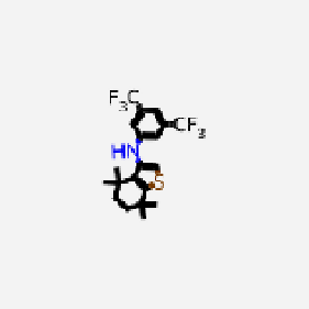 CC1(C)CCC(C)(C)c2c(Nc3cc(C(F)(F)F)cc(C(F)(F)F)c3)csc21